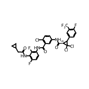 O=C(CC1CC1)Nc1c(F)ccc(NC(=O)c2cc(NC(=O)[C@H]3C(c4ccc(F)c(C(F)(F)F)c4)C3(Cl)Cl)ccc2Cl)c1F